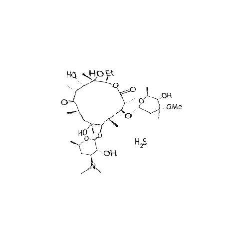 CC[C@H]1OC(=O)[C@H](C)[C@@H](O[C@H]2C[C@@](C)(OC)[C@@H](O)[C@H](C)O2)[C@@H](C)[C@@H](O[C@@H]2O[C@H](C)C[C@H](N(C)C)[C@H]2O)[C@](C)(O)C[C@@H](C)C(=O)[C@H](C)[C@H](O)[C@]1(C)O.S